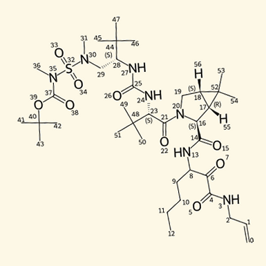 C=CCNC(=O)C(=O)C(CCCC)NC(=O)[C@@H]1[C@@H]2[C@H](CN1C(=O)[C@@H](NC(=O)N[C@H](CN(C)S(=O)(=O)N(C)C(=O)OC(C)(C)C)C(C)(C)C)C(C)(C)C)C2(C)C